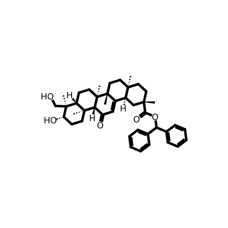 C[C@]1(C(=O)OC(c2ccccc2)c2ccccc2)CC[C@]2(C)CC[C@]3(C)C(=CC(=O)[C@@H]4[C@@]5(C)CC[C@H](O)[C@@](C)(CO)[C@@H]5CC[C@]43C)[C@@H]2C1